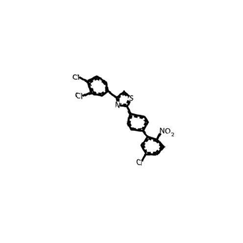 O=[N+]([O-])c1ccc(Cl)cc1-c1ccc(-c2nc(-c3ccc(Cl)c(Cl)c3)cs2)cc1